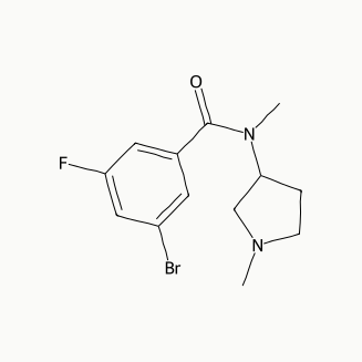 CN1CCC(N(C)C(=O)c2cc(F)cc(Br)c2)C1